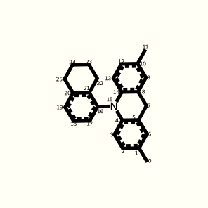 Cc1ccc2c(c1)Cc1cc(C)ccc1N2c1cccc2c1CCCC2